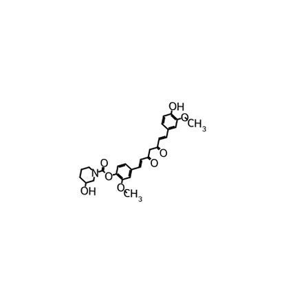 COc1cc(C=CC(=O)CC(=O)C=Cc2ccc(OC(=O)N3CCCC(O)C3)c(OC)c2)ccc1O